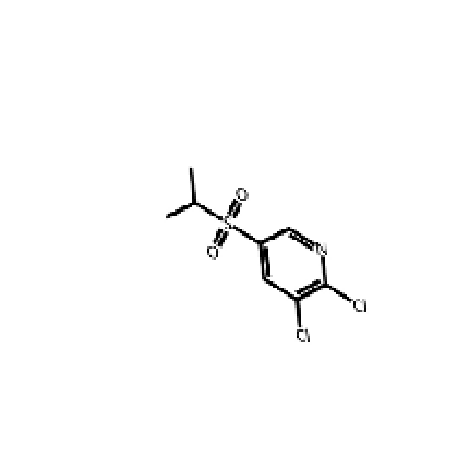 CC(C)S(=O)(=O)c1cnc(Cl)c(Cl)c1